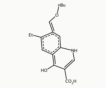 CCCCO/C=c1\cc2c(cc1CC)=C(O)C(C(=O)O)=CN2